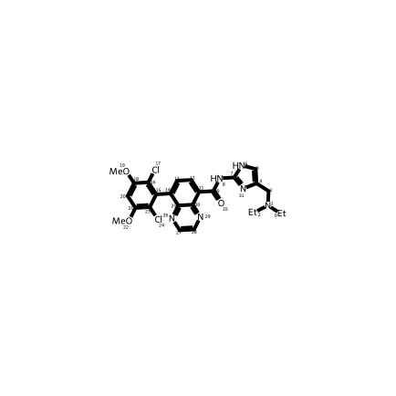 CCN(CC)Cc1c[nH]c(NC(=O)c2ccc(-c3c(Cl)c(OC)cc(OC)c3Cl)c3nccnc23)n1